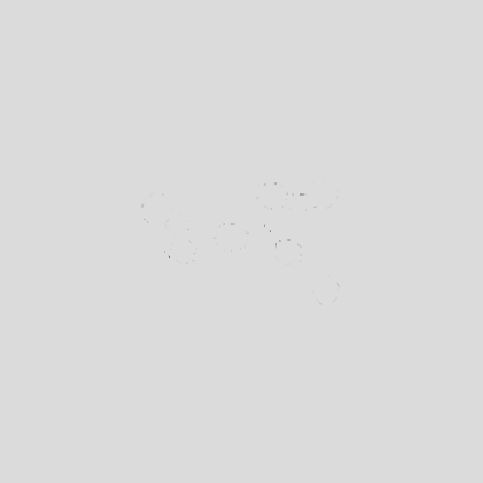 c1ccc(-c2ccc(N(c3ccc(-c4ccnc5c4oc4ccccc45)cc3)c3cccc4c3sc3ccccc34)cc2)cc1